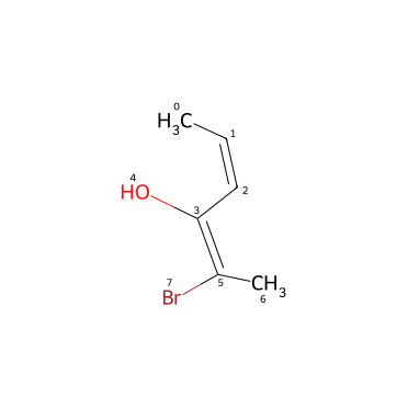 C/C=C\C(O)=C(/C)Br